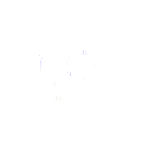 Sc1cncc2nc(I)cn12